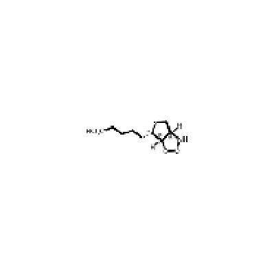 O=C(O)CCCC[C@@H]1SC[C@@H]2NOO[C@@H]21